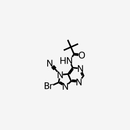 CC(C)(C)C(=O)Nc1ncnc2nc(Br)n(C#N)c12